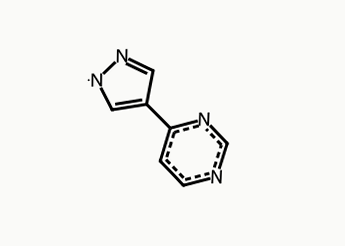 C1=N[N]C=C1c1ccncn1